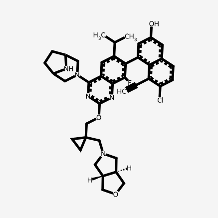 C#Cc1c(Cl)ccc2cc(O)cc(-c3c(C(C)C)cc4c(N5CC6CCC(C5)N6)nc(OCC5(CN6C[C@H]7COC[C@@H]7C6)CC5)nc4c3F)c12